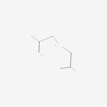 CC(C)[CH2][Mg][CH2]C(C)C